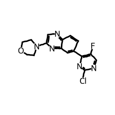 Fc1cnc(Cl)nc1-c1ccc2ncc(N3CCOCC3)nc2c1